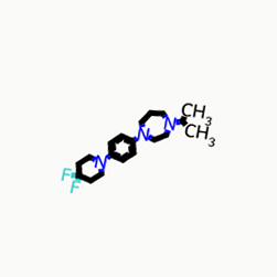 CC(C)N1CCCN(c2ccc(N3CCC(F)(F)CC3)cc2)CC1